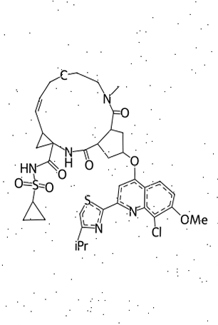 COc1ccc2c(OC3CC4C(=O)NC5(C(=O)NS(=O)(=O)C6CC6)CC5/C=C\CCCCN(C)C(=O)C4C3)cc(-c3nc(C(C)C)cs3)nc2c1Cl